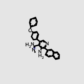 C/N=C(/N)c1c(C2=CC=C(Oc3ccccc3)CC2)cnc(-c2ccc3ccccc3c2)c1N